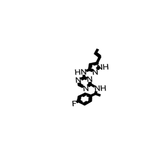 C/C=C/c1cc(Nc2ncnc(NC(C)c3ccc(F)cc3)n2)n[nH]1